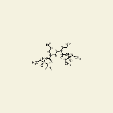 CCP(=O)(CC)NC(=S)N(CCBr)CCN(CCBr)C(=S)NP(=O)(CC)CC